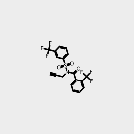 C#CCN(C(=O)c1ccccc1C(F)(F)F)S(=O)(=O)c1cccc(C(F)(F)F)c1